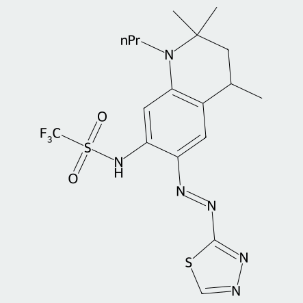 CCCN1c2cc(NS(=O)(=O)C(F)(F)F)c(N=Nc3nncs3)cc2C(C)CC1(C)C